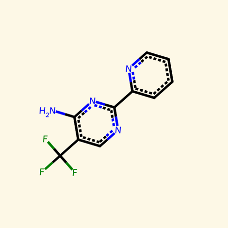 Nc1nc(-c2ccccn2)ncc1C(F)(F)F